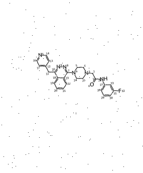 O=C(CN1CCN(c2nnc(Cc3ccncc3)c3ccccc23)CC1)Nc1cccc(F)c1